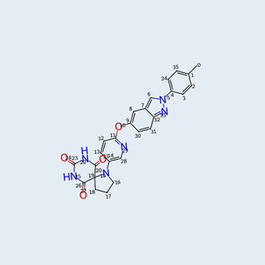 Cc1ccc(-n2cc3cc(Oc4ccc(N5CCCC56C(=O)NC(=O)NC6=O)cn4)ccc3n2)cc1